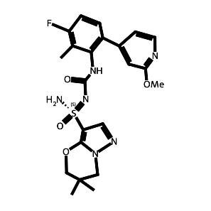 COc1cc(-c2ccc(F)c(C)c2NC(=O)N=[S@](N)(=O)c2cnn3c2OCC(C)(C)C3)ccn1